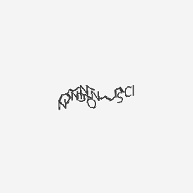 O=C1C(=O)N(Cc2cc3ccncc3[nH]2)CCN1CC=Cc1ccc(Cl)s1